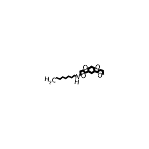 CCCCCCCCNc1cc2oc3cc4oc5ccoc5c4cc3c2o1